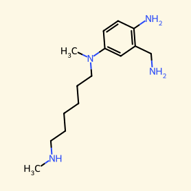 CNCCCCCCN(C)c1ccc(N)c(CN)c1